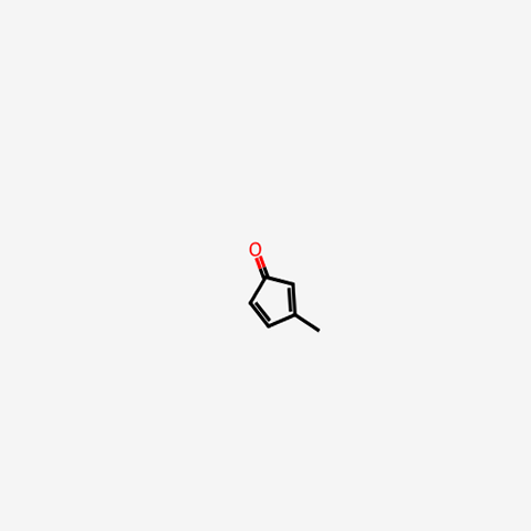 CC1=CC(=O)C=C1